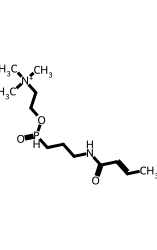 CC=CC(=O)NCCC[PH](=O)OCC[N+](C)(C)C